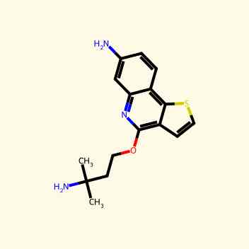 CC(C)(N)CCOc1nc2cc(N)ccc2c2sccc12